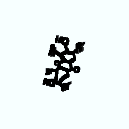 O=c1c2cc(Br)c(O)c(Br)c2oc2c(Br)c(O)c(Br)cc12